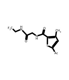 CC(=O)c1cc(C)c(C(=O)NCC(=O)NCC(F)(F)F)s1